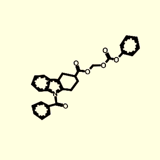 O=C(OCOC(=O)C1CCc2c(c3ccccc3n2C(=O)c2ccccc2)C1)Oc1ccccc1